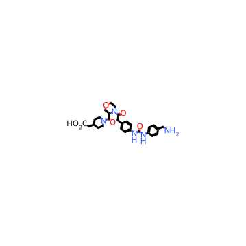 NCc1ccc(NC(=O)Nc2ccc(CC(=O)N3CCOCC3C(=O)N3CCC(CC(=O)O)CC3)cc2)cc1